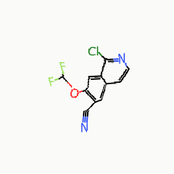 N#Cc1cc2ccnc(Cl)c2cc1OC(F)F